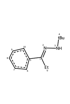 CCC(=NNC(C)(C)C)c1ccccc1